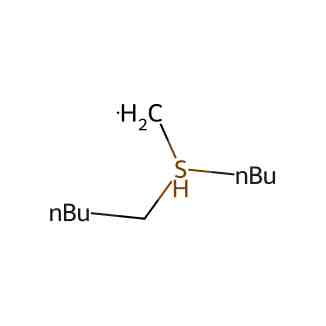 [CH2][SH](CCCC)CCCCC